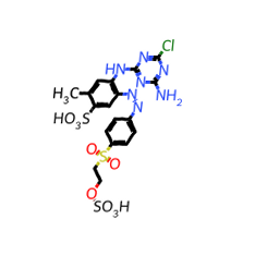 Cc1cc(Nc2nc(N)nc(Cl)n2)c(N=Nc2ccc(S(=O)(=O)CCOS(=O)(=O)O)cc2)cc1S(=O)(=O)O